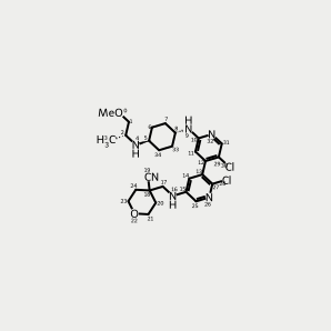 COC[C@@H](C)N[C@H]1CC[C@H](Nc2cc(-c3cc(NCC4(C#N)CCOCC4)cnc3Cl)c(Cl)cn2)CC1